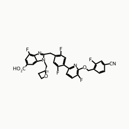 N#Cc1ccc(COc2nc(-c3cc(F)c(Cc4nc5c(F)cc(C(=O)O)cc5n4C[C@@H]4CCO4)cc3F)ccc2F)c(F)c1